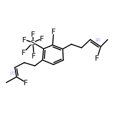 C/C(F)=C/CCc1ccc(CC/C=C(/C)F)c(S(F)(F)(F)(F)F)c1F